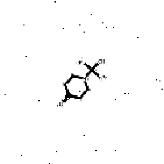 CCCC(C)(CCC)N1CCC(=O)CC1